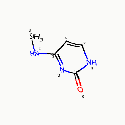 O=c1nc(N[SiH3])cc[nH]1